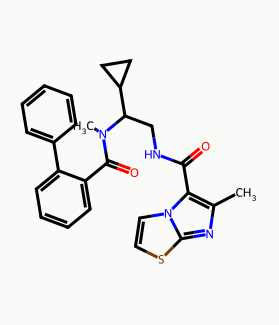 Cc1nc2sccn2c1C(=O)NCC(C1CC1)N(C)C(=O)c1ccccc1-c1ccccc1